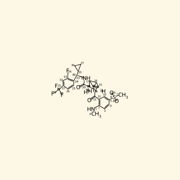 CNc1ccc(S(C)(=O)=O)cc1C(=O)N1[C@@H]2C3C([C@@H]32)[C@@H]1C(=O)N[C@@H](c1ccc(C(F)(F)F)cc1F)C1CC1